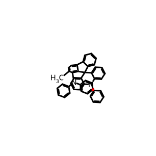 Cc1ccc2c(c1N(c1ccccc1)c1ccccc1)C1(c3ccccc3-2)c2ccccc2N(c2ccccc2)c2ccccc21